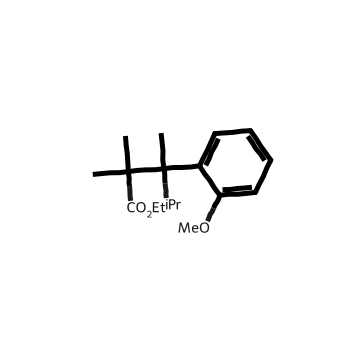 CCOC(=O)C(C)(C)C(C)(c1ccccc1OC)C(C)C